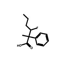 CCCC(F)C(C)(C(=O)O)c1ccccc1